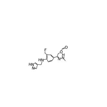 CN/N=C(\COC=O)c1ccc(NCc2cn[nH]c2)c(CF)c1